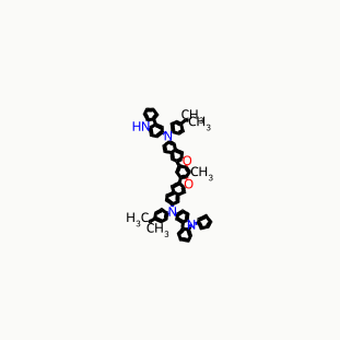 Cc1c2oc3cc4cc(N(c5ccc(C(C)C)cc5)c5ccc6[nH]c7ccccc7c6c5)ccc4cc3c2cc2c1oc1cc3cc(N(c4ccc(C(C)C)cc4)c4ccc5c(c4)c4ccccc4n5-c4ccccc4)ccc3cc12